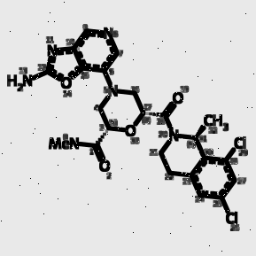 CNC(=O)[C@@H]1CN(c2cncc3nc(N)oc23)C[C@H](C(=O)N2CCc3cc(Cl)cc(Cl)c3[C@@H]2C)O1